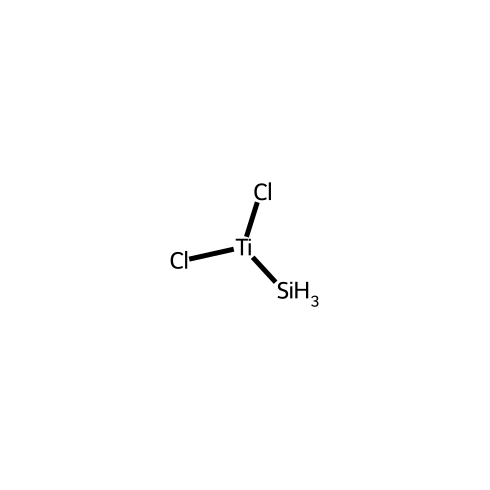 [SiH3][Ti]([Cl])[Cl]